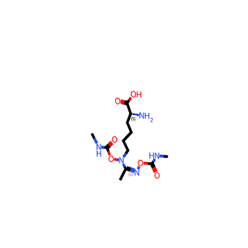 CNC(=O)O/N=C(/C)N(CCCC[C@H](N)C(=O)O)OC(=O)NC